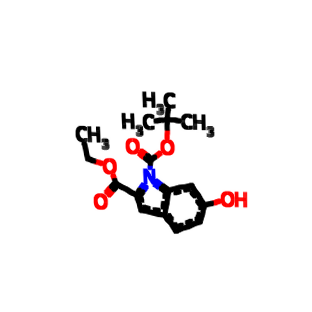 CCOC(=O)c1cc2ccc(O)cc2n1C(=O)OC(C)(C)C